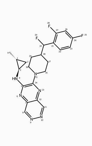 C[C@@H]1C[C@H]1Nc1nc2cnncc2nc1N1CCC(C(F)c2ccc(F)cc2F)CC1